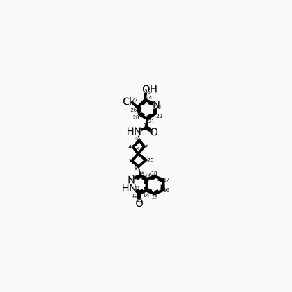 O=C(N[C@H]1CC2(C1)C[C@H](c1n[nH]c(=O)c3ccccc31)C2)c1cnc(O)c(Cl)c1